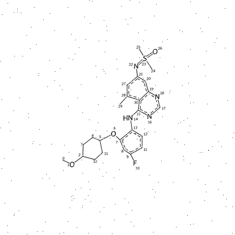 COC1CCC(Oc2cc(F)ccc2Nc2ncnc3cc(N=S(C)(C)=O)cc(C)c23)CC1